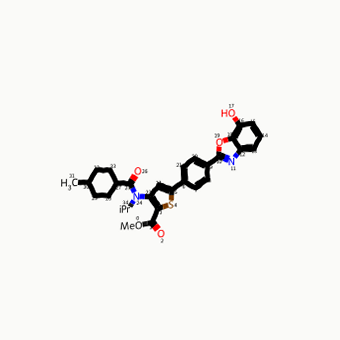 COC(=O)c1sc(-c2ccc(-c3nc4cccc(O)c4o3)cc2)cc1N(C(=O)C1CCC(C)CC1)C(C)C